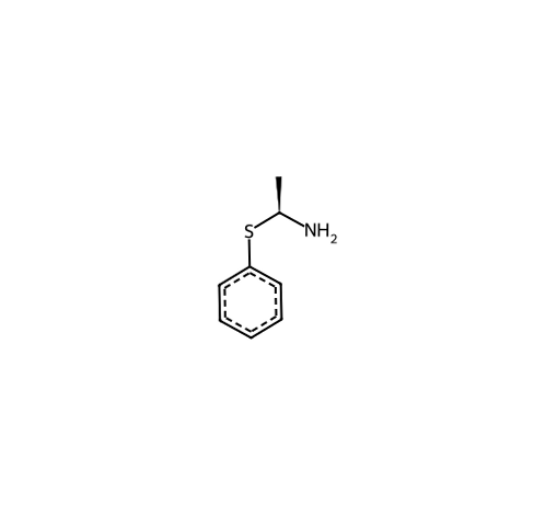 C[C@@H](N)Sc1ccccc1